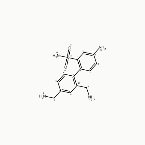 NCc1ccc(-c2ccc(N)cc2S(N)(=O)=O)c(CN)c1